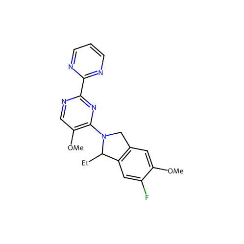 CCC1c2cc(F)c(OC)cc2CN1c1nc(-c2ncccn2)ncc1OC